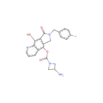 NC1CN(C(=O)Oc2c3c(c(O)c4ncccc24)C(=O)N(Cc2ccc(F)cc2)C3)C1